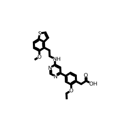 CCOc1cc(-c2cc(NCCc3c(OC)ccc4sccc34)ncn2)ccc1CC(=O)O